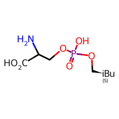 CC[C@H](C)COP(=O)(O)OCC(N)C(=O)O